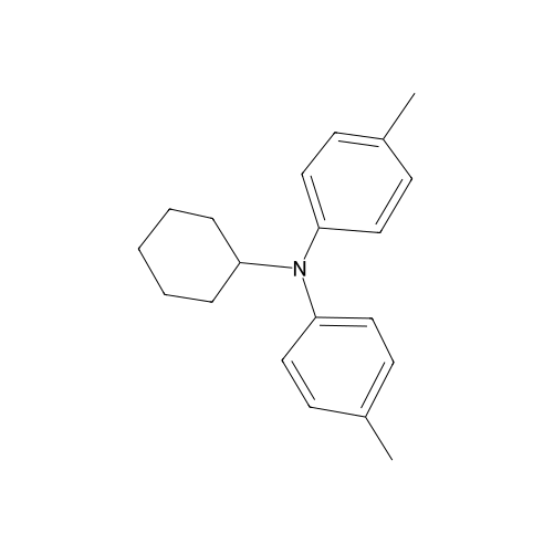 Cc1ccc(N(c2ccc(C)cc2)C2CCCCC2)cc1